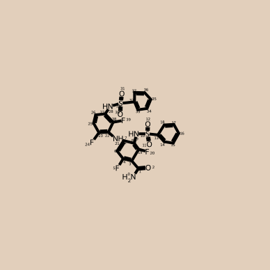 NC(=O)c1c(F)ccc(NS(=O)(=O)c2ccccc2)c1F.Nc1c(F)ccc(NS(=O)(=O)c2ccccc2)c1F